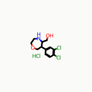 Cl.OCC1NCCOCC1c1ccc(Cl)c(Cl)c1